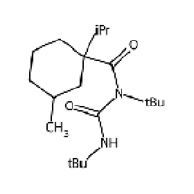 CC1CCCC(C(=O)N(C(=O)NC(C)(C)C)C(C)(C)C)(C(C)C)C1